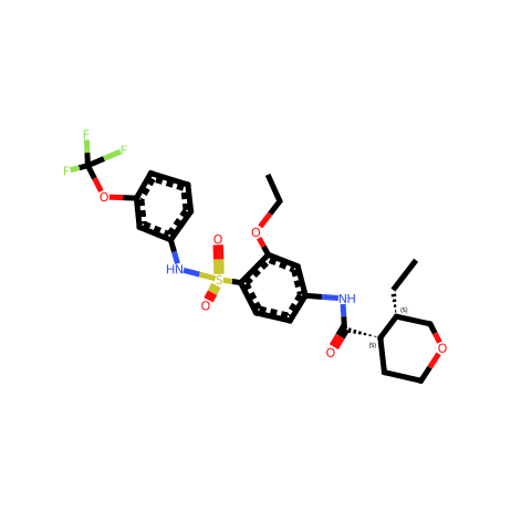 CCOc1cc(NC(=O)[C@H]2CCOC[C@H]2CC)ccc1S(=O)(=O)Nc1cccc(OC(F)(F)F)c1